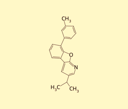 Cc1cccc(-c2cccc3c2oc2ncc(C(C)C)cc23)c1